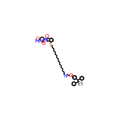 CCC(=C(c1ccccc1)c1ccc(OCCN(C)CCCCCCCCCCCCCCCCCCSc2cccc3c2CN(C2CCC(=O)NC2=O)C3=O)cc1)c1ccccc1